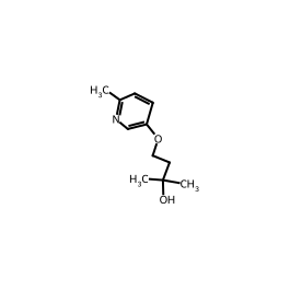 Cc1ccc(OCCC(C)(C)O)cn1